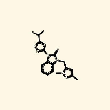 Cc1cc(Cn2c(=O)n(-c3nnc(C(F)F)s3)c3ccccc32)n(C)n1